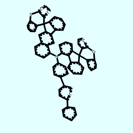 c1ccc(-c2ccc(-c3ccc(N(c4cccc5c4-c4ccccc4C54c5ccccc5Oc5ccccc54)c4cccc5cc6c(cc45)-c4ccccc4C64c5ccccc5Sc5ccccc54)cc3)cc2)cc1